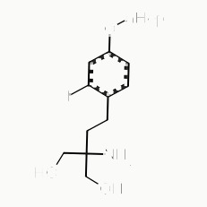 CCCCCCCOc1ccc(CCC(N)(CO)CO)c(I)c1